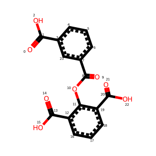 O=C(O)c1cccc(C(=O)Oc2c(C(=O)O)cccc2C(=O)O)c1